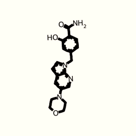 NC(=O)c1ccc(Cn2ccc3cc(N4CCOCC4)cnc32)cc1O